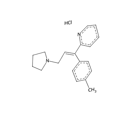 Cc1ccc(/C(=C\CN2CCCC2)c2ccccn2)cc1.Cl